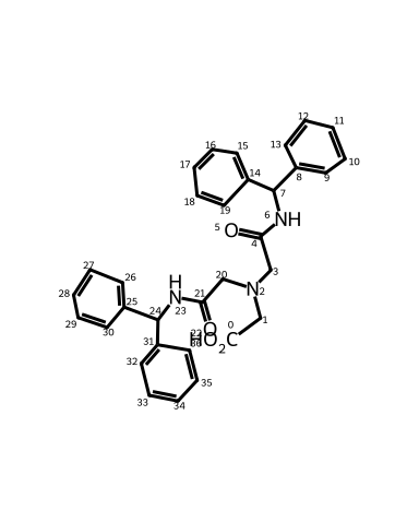 O=C(O)CN(CC(=O)NC(c1ccccc1)c1ccccc1)CC(=O)NC(c1ccccc1)c1ccccc1